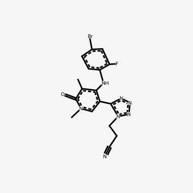 Cc1c(Nc2ccc(Br)cc2F)c(-c2nnnn2CCC#N)cn(C)c1=O